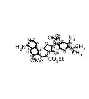 CCOC(=O)[C@@H](Cc1cc2ccnc(N)c2cc1OC)N1CC[C@H](N(c2cnc(N(C)C)c(C)c2)[SH](=O)=O)C1=O